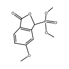 COc1ccc2c(c1)C(P(=O)(OC)OC)OC2=O